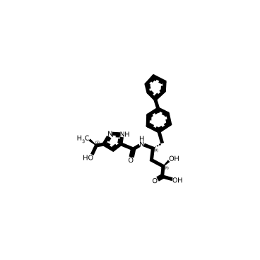 C[C@H](O)c1cc(C(=O)N[C@H](Cc2ccc(-c3ccccc3)cc2)C[C@@H](O)C(=O)O)[nH]n1